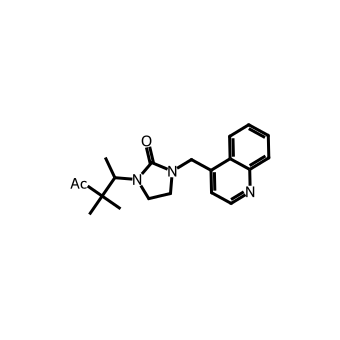 CC(=O)C(C)(C)C(C)N1CCN(Cc2ccnc3ccccc23)C1=O